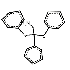 NCC(Sc1ccccc1)(Sc1ccccc1)c1ccccc1